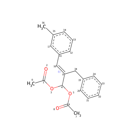 CC(=O)OC(OC(C)=O)/C(=C/c1cccc(C)c1)Cc1ccccc1